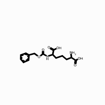 NC(CCCC(NC(=O)OCc1ccccc1)C(=O)O)C(=O)O